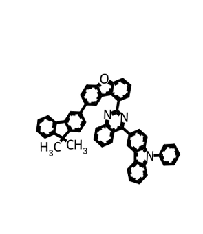 CC1(C)c2ccccc2-c2cc(-c3ccc4oc5cccc(-c6nc(-c7ccc8c(c7)c7ccccc7n8-c7ccccc7)c7ccccc7n6)c5c4c3)ccc21